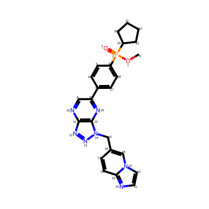 COP(=O)(c1ccc(-c2cnc3nnn(Cc4ccc5nccn5c4)c3n2)cc1)C1CCCC1